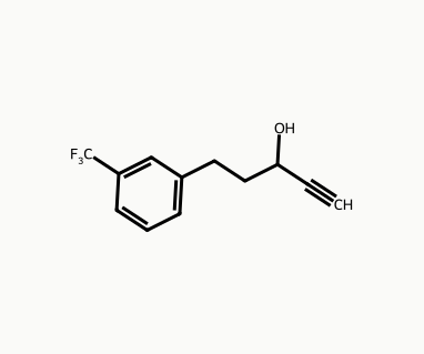 C#CC(O)CCc1cccc(C(F)(F)F)c1